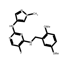 COc1ccc(SC)cc1CNc1nc(Nc2cnn(C)c2)ncc1F